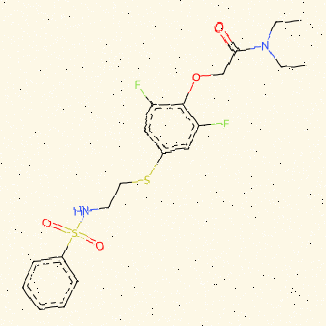 CCN(CC)C(=O)COc1c(F)cc(SCCNS(=O)(=O)c2ccccc2)cc1F